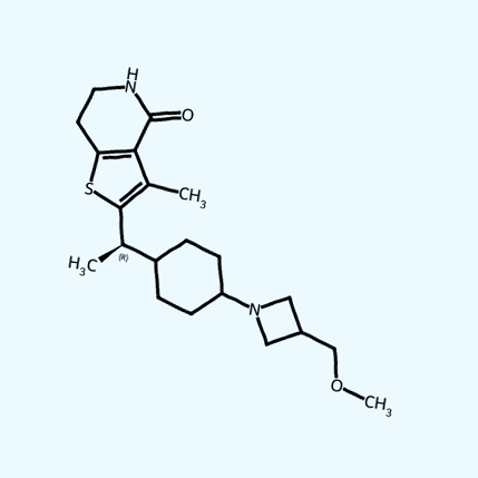 COCC1CN(C2CCC([C@@H](C)c3sc4c(c3C)C(=O)NCC4)CC2)C1